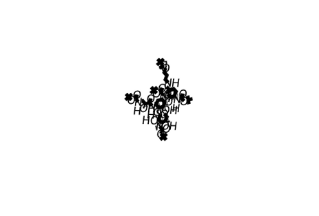 CN(C(=O)OC(C)(C)C)[C@@H]1[C@@H](O)[C@@H](O[C@@H]2[C@@H](O)[C@H](O[C@H]3OC(CNCCCO[Si](C)(C)C(C)(C)C)=CC[C@H]3NC(=O)OC(C)(C)C)[C@@H](NC(=O)OC(C)(C)C)C[C@H]2NC(=O)[C@@H](O)CNC(=O)OC(C)(C)C)OC[C@]1(C)O